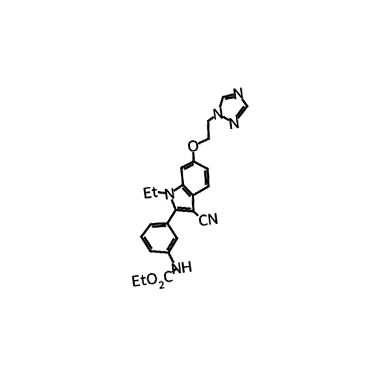 CCOC(=O)Nc1cccc(-c2c(C#N)c3ccc(OCCn4cncn4)cc3n2CC)c1